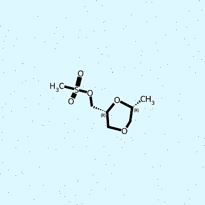 C[C@@H]1COC[C@H](COS(C)(=O)=O)O1